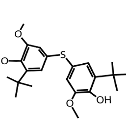 COc1cc(Sc2cc(OC)c(O)c(C(C)(C)C)c2)cc(C(C)(C)C)c1O